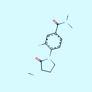 CC(C)N(C)C(=O)c1ccc(N2CC[C@H](NC(=O)O)C2=O)c(F)c1